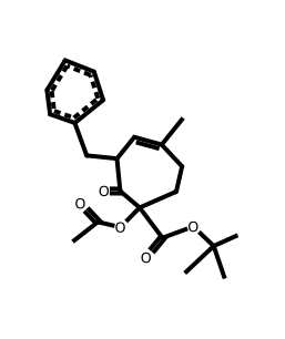 CC(=O)OC1(C(=O)OC(C)(C)C)CCC(C)=CC(Cc2ccccc2)C1=O